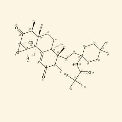 CC1C(=O)C=C2[C@@]3(C)[C@H]4O[C@@]4(C#N)C(=O)[C@@H](C)[C@@H]3CC[C@@]2(C)[C@]1(C)CCC1(NC(=O)C(C)(F)F)CCC(C)(C)CC1